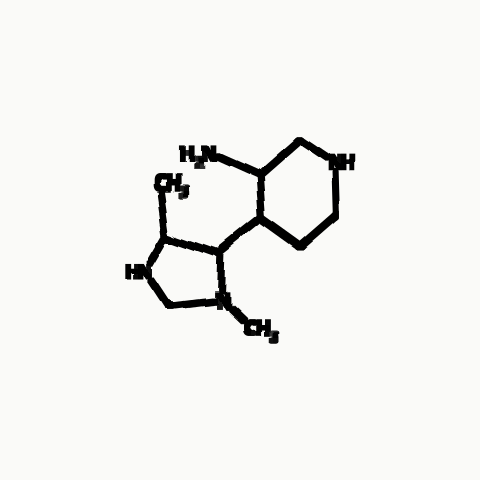 CC1NCN(C)C1C1CCNCC1N